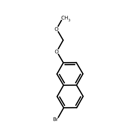 COCOc1ccc2ccc(Br)cc2c1